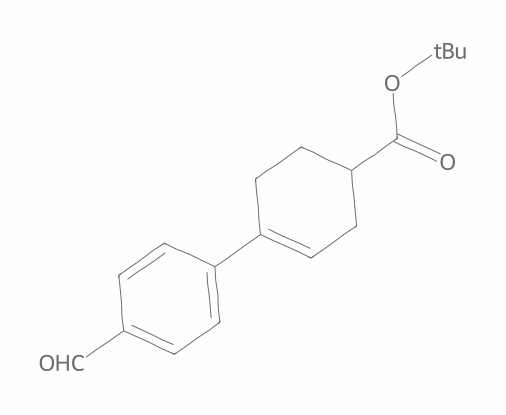 CC(C)(C)OC(=O)C1CC=C(c2ccc(C=O)cc2)CC1